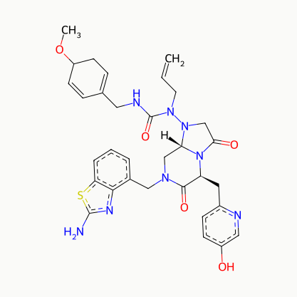 C=CCN(C(=O)NCC1=CCC(OC)C=C1)N1CC(=O)N2[C@@H](Cc3ccc(O)cn3)C(=O)N(Cc3cccc4sc(N)nc34)C[C@@H]21